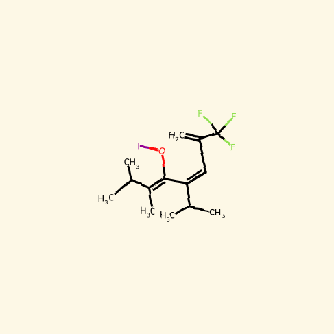 C=C(/C=C(\C(OI)=C(/C)C(C)C)C(C)C)C(F)(F)F